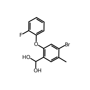 Cc1cc(C(O)O)c(Oc2ccccc2F)cc1Br